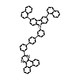 c1cc(-c2ccc(-c3cccc(-n4c5ccc(-c6cccc7ccccc67)cc5c5cc(-c6cccc7ccccc67)ccc54)c3)cc2)cc(-c2cnc3c4ccccc4c4ccccc4c3n2)c1